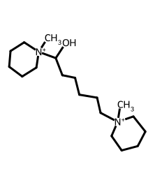 C[N+]1(CCCCCC(O)[N+]2(C)CCCCC2)CCCCC1